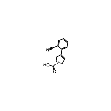 N#Cc1ccccc1C1=CCN(C(=O)O)C1